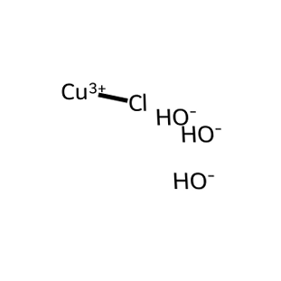 [Cl][Cu+3].[OH-].[OH-].[OH-]